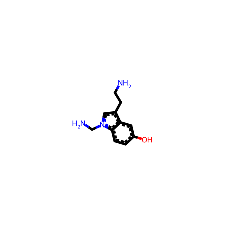 NCCc1cn(CN)c2ccc(O)cc12